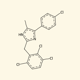 Cc1[nH]c(Cc2c(Cl)ccc(Cl)c2Cl)nc1-c1ccc(Cl)cc1